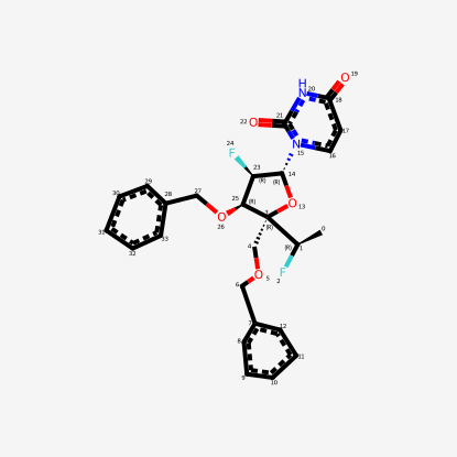 C[C@@H](F)[C@]1(COCc2ccccc2)O[C@@H](n2ccc(=O)[nH]c2=O)[C@H](F)[C@@H]1OCc1ccccc1